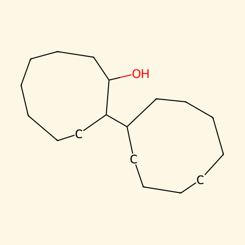 OC1CCCCCCCC1C1CCCCCCCC1